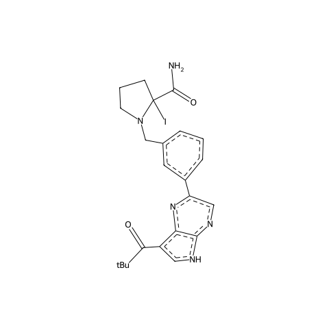 CC(C)(C)C(=O)c1c[nH]c2ncc(-c3cccc(CN4CCCC4(I)C(N)=O)c3)nc12